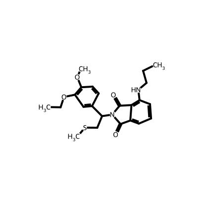 CCCNc1cccc2c1C(=O)N(C(CSC)c1ccc(OC)c(OCC)c1)C2=O